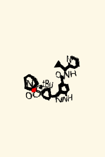 CC(C)(C)OC(=O)N1C2CCC1CC(Oc1ccc(-c3n[nH]c4ccc(C(=O)NC(c5ccccn5)C5CC5)cc34)cc1)C2